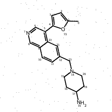 Cc1ccc(-c2cncc3ccc(CN4CCC(N)CC4)cc23)o1